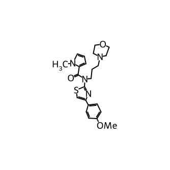 COc1ccc(-c2csc(N(CCCN3CCOCC3)C(=O)c3cccn3C)n2)cc1